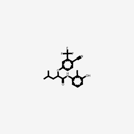 Cc1c(O)cccc1NC(=O)C(CC(C)C)Oc1ccc(C#N)c(C(F)(F)F)c1